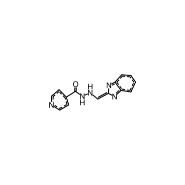 O=C(NNC=C1N=c2ccccc2=N1)c1ccncc1